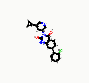 O=c1[nH]c2cc(-c3ccccc3Cl)ccc2c(=O)n1-c1cncc(C2CC2)c1